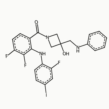 O=C(c1ccc(F)c(F)c1Nc1ccc(I)cc1F)N1CC(O)(CNc2ccccc2)C1